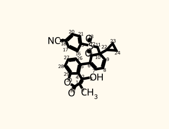 Cc1c(O)c2c(C3=CC=CC(CS(=O)(=O)c4ccc(C#N)cc4)(C4CC4)C3)cccc2oc1=O